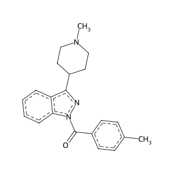 Cc1ccc(C(=O)n2nc(C3CCN(C)CC3)c3ccccc32)cc1